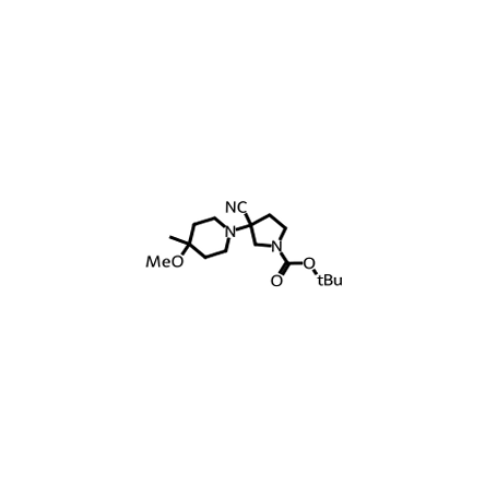 COC1(C)CCN(C2(C#N)CCN(C(=O)OC(C)(C)C)C2)CC1